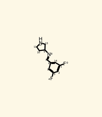 Fc1cc(F)cc(C=NC2CCNC2)c1